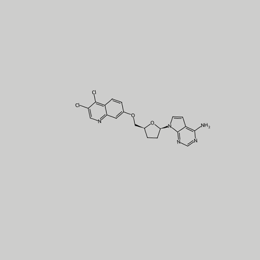 Nc1ncnc2c1ccn2[C@H]1CC[C@@H](COc2ccc3c(Cl)c(Cl)cnc3c2)O1